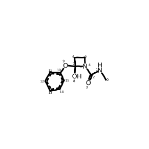 CNC(=O)N1CCC1(O)Oc1ccccc1